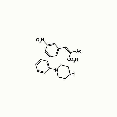 CC(=O)C(=Cc1cccc([N+](=O)[O-])c1)C(=O)O.c1ccc(N2CCNCC2)cc1